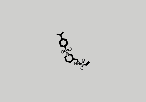 C=CS(=O)(=O)NCC1CCCN(S(=O)(=O)c2ccc(C(C)C)cc2)C1